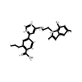 CCCc1cc(-c2cc(NCCn3c(C)cc4cc(C)cc(F)c43)ncn2)ccc1C(=O)O